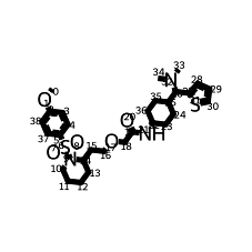 COc1ccc(S(=O)(=O)N2CCCCC2CCOCC(=O)NC2CCC(C(c3cccs3)N(C)C)CC2)cc1